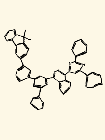 CC1(C)c2ccccc2-c2cc(-c3cccc(-c4cc(-c5ccccc5)cc(-c5ccc(-c6cc(-c7ccccc7)nc(-c7ccccc7)n6)c6ccccc56)c4)c3)ccc21